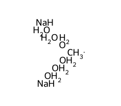 O.O.O.O.O.O.[CH3].[NaH].[NaH]